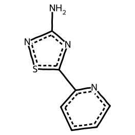 Nc1nsc(-c2ccccn2)n1